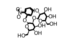 O=[N+]([O-])c1ccccc1O[C@H]1O[C@H](CO)[C@@H](O)[C@H](O)[C@@H]1O[C@H]1O[C@H](CO)[C@H](O)[C@H](O)[C@H]1O